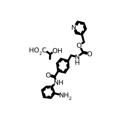 CC(O)C(=O)O.Nc1ccccc1NC(=O)c1ccc(CNC(=O)OCc2cccnc2)cc1